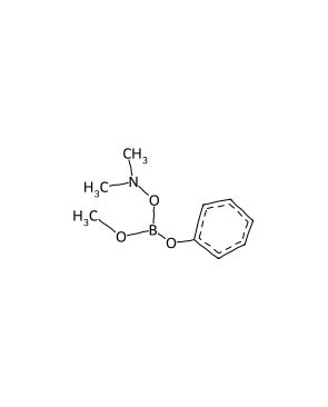 COB(Oc1ccccc1)ON(C)C